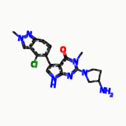 Cn1cc2c(Cl)c(-c3c[nH]c4nc(N5CCC(N)C5)n(C)c(=O)c34)ccc2n1